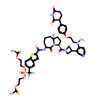 CCCC(=S)OCCOP(=O)(OCCOC(=S)CCC)C(F)(F)c1ccc2sc(C(=O)N[C@H]3CCC[C@H]4CC[C@@H](C(=O)N5CC(c6cnccc6N(C)CCOc6ccc(C7CCC(=O)NC7=O)cc6)C5)N4C3=O)cc2c1